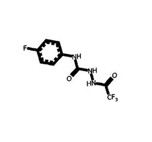 O=C(NNC(=O)C(F)(F)F)Nc1ccc(F)cc1